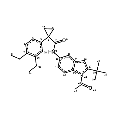 CCc1ccc(C2(C(=O)Nc3ccc4c(c3)cc(C(C)(C)C)n4C(C)=O)CC2)cc1CC